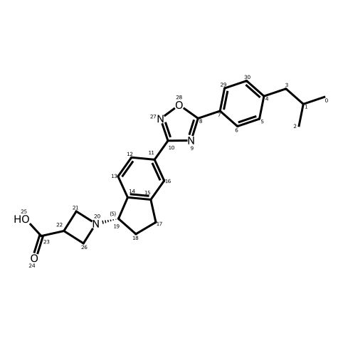 CC(C)Cc1ccc(-c2nc(-c3ccc4c(c3)CC[C@@H]4N3CC(C(=O)O)C3)no2)cc1